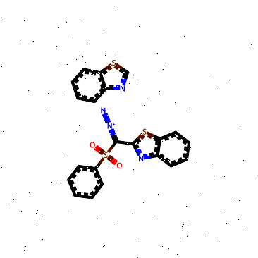 [N-]=[N+]=C(c1nc2ccccc2s1)S(=O)(=O)c1ccccc1.c1ccc2scnc2c1